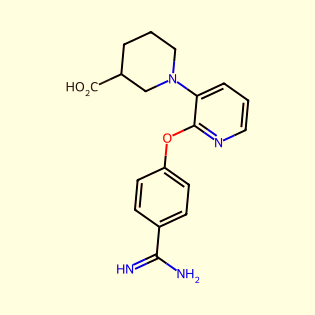 N=C(N)c1ccc(Oc2ncccc2N2CCCC(C(=O)O)C2)cc1